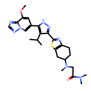 COc1cc(-c2[nH]nc(-c3nc4c(s3)CC(N(C)CC(=O)N(C)C)CC4)c2C(C)C)cn2ncnc12